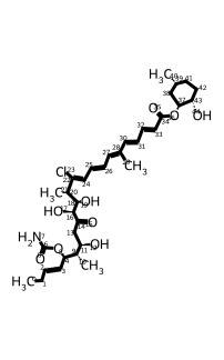 CC/C=C/[C@@H](OC(N)=O)[C@@H](C)[C@H](O)CC(=O)[C@@H](O)[C@H](O)[C@H](C)/C(Cl)=C/C=C/C=C(C)/C=C/C=C/C(=O)O[C@@H]1C[C@H](C)CC[C@@H]1O